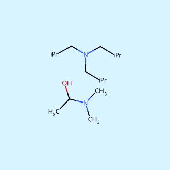 CC(C)CN(CC(C)C)CC(C)C.CC(O)N(C)C